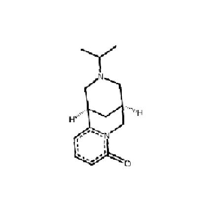 CC(C)N1C[C@@H]2C[C@H](C1)c1cccc(=O)n1C2